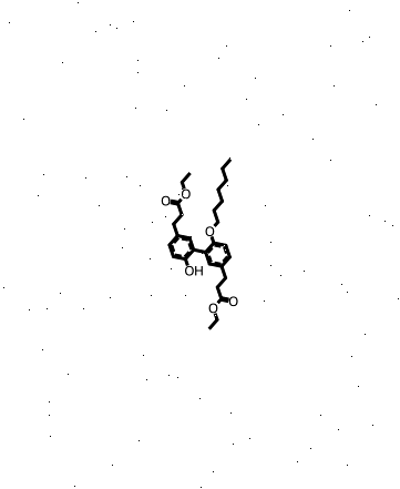 CCCCCCCOc1ccc(CCC(=O)OCC)cc1-c1cc(CCC(=O)OCC)ccc1O